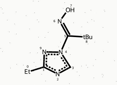 CCc1ncn(C(=NO)C(C)(C)C)n1